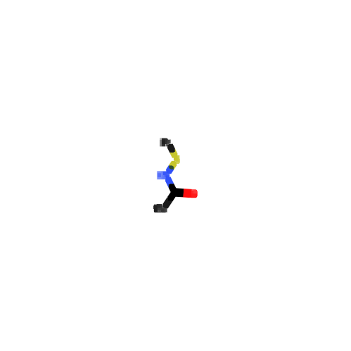 CC(C)SNC(=O)C(C)(C)C